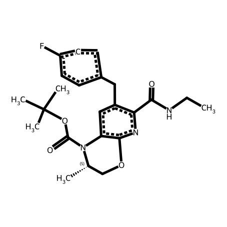 CCNC(=O)c1nc2c(cc1Cc1ccc(F)cc1)N(C(=O)OC(C)(C)C)[C@@H](C)CO2